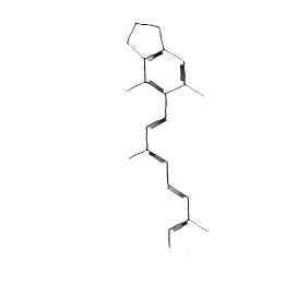 CCOC(=O)C=C(C)C=CC=C(C)C=Cc1c(C)cc2c(c1C)CCC2